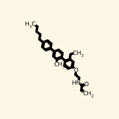 C=CC(=O)NCCOc1ccc(-c2ccc(-c3ccc(CCCCC)cc3)cc2C)c(CC)c1